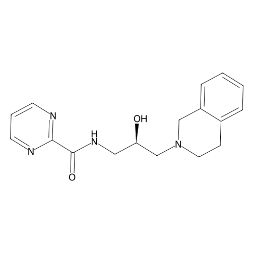 O=C(NC[C@@H](O)CN1CCc2ccccc2C1)c1ncccn1